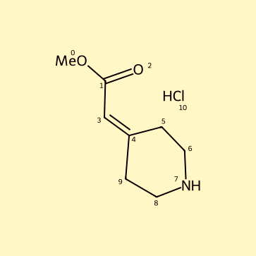 COC(=O)C=C1CCNCC1.Cl